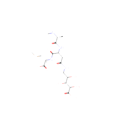 CN[C@@H](C)C(=O)NC(CC(=O)NCC(O)C(O)C(O)C(=O)O)C(=O)N[C@@H](CSC)C(=O)O